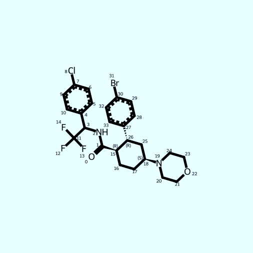 O=C(NC(c1ccc(Cl)cc1)C(F)(F)F)[C@@H]1CC[C@H](N2CCOCC2)C[C@H]1c1ccc(Br)cc1